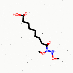 CONN(OC)C(=O)CCCCCCCC(=O)O